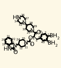 Bc1ccc(C[C@@H](OC(=O)N2CCC(n3c(=O)[nH]c4ccccc43)CC2)C(=O)N2CCC(N3CCNCC3)CC2)cc1B